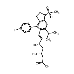 CC(C)c1nc2c(c(-c3ccc(F)cc3)c1C=C[C@@H](O)C[C@@H](O)CC(=O)O)CCN2S(C)(=O)=O